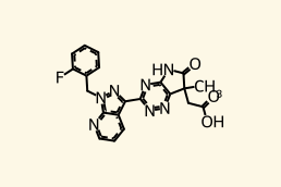 CC1(CC(=O)O)C(=O)Nc2nc(-c3nn(Cc4ccccc4F)c4ncccc34)nnc21